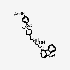 CC(=O)Nc1ccc(S(=O)(=O)N2CCC(CNC[C@H](O)COc3cccc4[nH]c5ccccc5c34)CC2)cc1